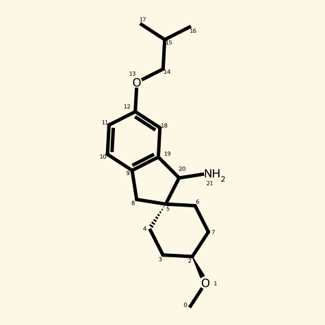 CO[C@H]1CC[C@]2(CC1)Cc1ccc(OCC(C)C)cc1C2N